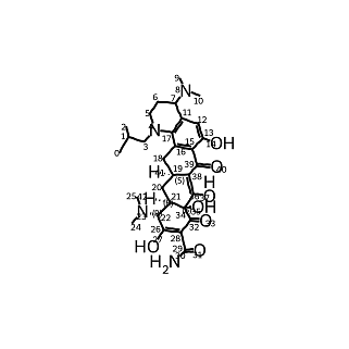 CC(C)CN1CCC(N(C)C)c2cc(O)c3c(c21)C[C@@H]1C[C@@H]2[C@@H](N(C)C)C(O)=C(C(N)=O)C(=O)[C@@]2(O)C(O)=C1C3=O